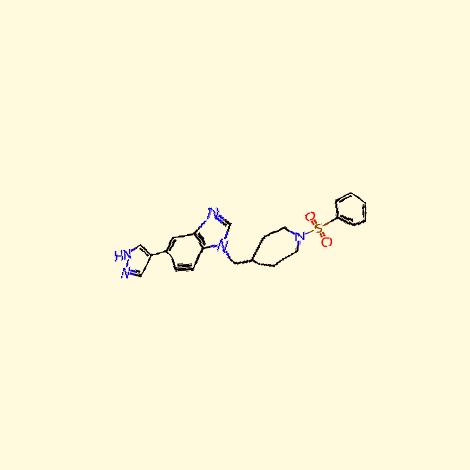 O=S(=O)(c1ccccc1)N1CCC(Cn2cnc3cc(-c4cn[nH]c4)ccc32)CC1